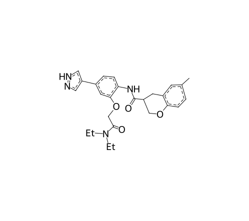 CCN(CC)C(=O)COc1cc(-c2cn[nH]c2)ccc1NC(=O)C1COc2ccc(C)cc2C1